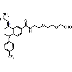 C/C(=C\NN)c1cc(C(=O)NCCOCCOCC=O)ccc1N(C)c1ccc(C(F)(F)F)cc1